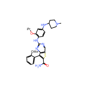 COc1ccccc1-c1c(C(N)=O)sc2cnc(Nc3ccc(NC4CCN(C)CC4)cc3OC(C)C)nc12